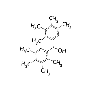 Cc1cc(C(O)c2cc(C)c(C)c(C)c2C)c(C)c(C)c1C